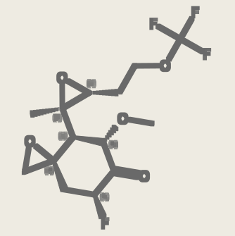 CO[C@@H]1C(=O)[C@@H](F)C[C@]2(CO2)[C@H]1[C@@]1(C)O[C@@H]1CCOC(F)(F)F